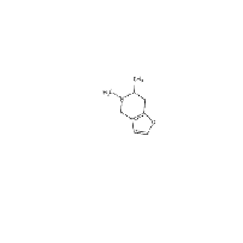 CC1Cc2occc2CN1C